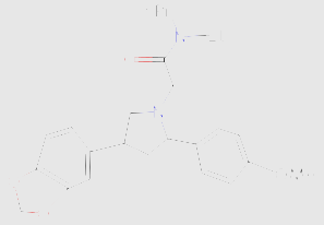 CCCN(CC)C(=O)CN1CC(c2ccc3c(c2)OCO3)CC1c1ccc(OC)cc1